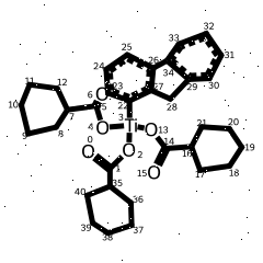 O=C([O][Ti]([O]C(=O)C1CCCCC1)([O]C(=O)C1CCCCC1)[c]1cccc2c1Cc1ccccc1-2)C1CCCCC1